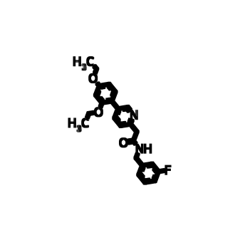 CCOc1ccc(-c2ccc(CC(=O)NCc3cccc(F)c3)nc2)c(OCC)c1